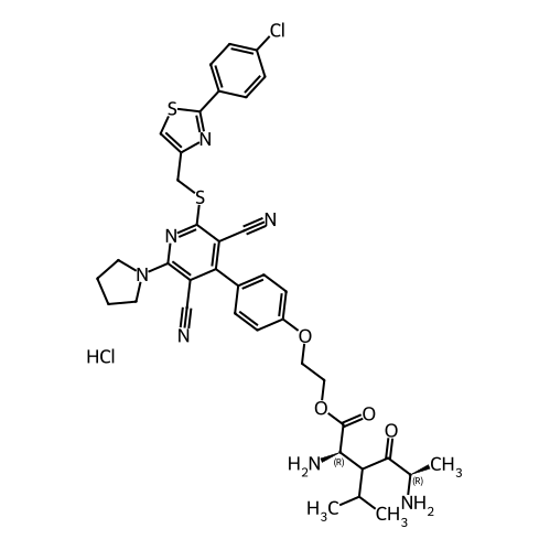 CC(C)C(C(=O)[C@@H](C)N)[C@@H](N)C(=O)OCCOc1ccc(-c2c(C#N)c(SCc3csc(-c4ccc(Cl)cc4)n3)nc(N3CCCC3)c2C#N)cc1.Cl